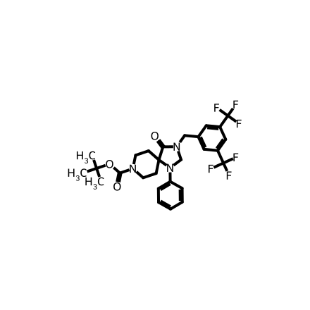 CC(C)(C)OC(=O)N1CCC2(CC1)C(=O)N(Cc1cc(C(F)(F)F)cc(C(F)(F)F)c1)CN2c1ccccc1